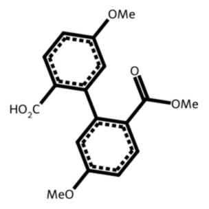 COC(=O)c1ccc(OC)cc1-c1cc(OC)ccc1C(=O)O